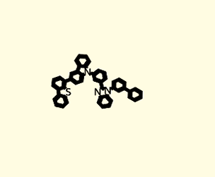 c1ccc(-c2cccc(-n3c(-c4cccc(-n5c6ccccc6c6cc(-c7cccc8c7sc7ccccc78)ccc65)c4)nc4ccccc43)c2)cc1